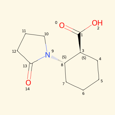 O=C(O)[C@H]1CCCC[C@@H]1N1CCCC1=O